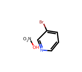 Brc1cccnc1.O=[N+]([O-])O